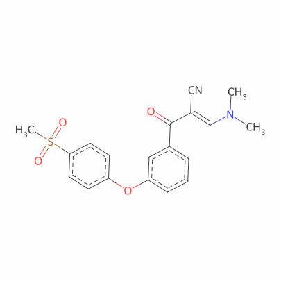 CN(C)C=C(C#N)C(=O)c1cccc(Oc2ccc(S(C)(=O)=O)cc2)c1